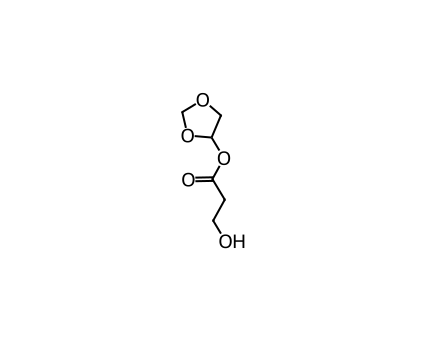 O=C(CCO)OC1COCO1